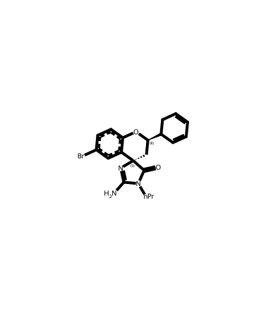 CCCN1C(=O)[C@@]2(C[C@H](C3C=CC=CC3)Oc3ccc(Br)cc32)N=C1N